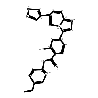 CCc1ccc(NC(=O)c2ccc(-c3cnc4ccc(-c5cn[nH]c5)cn34)cc2F)nc1